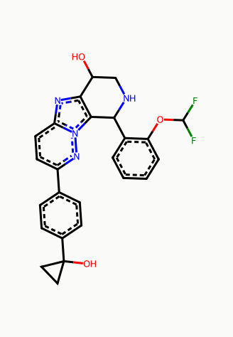 OC1CNC(c2ccccc2OC(F)F)c2c1nc1ccc(-c3ccc(C4(O)CC4)cc3)nn21